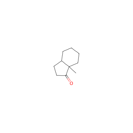 CC12CCCCC1CCC2=O